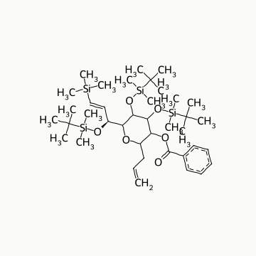 C=CCC1OC([C@H](C=C[Si](C)(C)C)O[Si](C)(C)C(C)(C)C)C(O[Si](C)(C)C(C)(C)C)C(O[Si](C)(C)C(C)(C)C)C1OC(=O)c1ccccc1